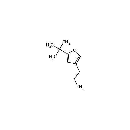 CCCc1coc(C(C)(C)C)c1